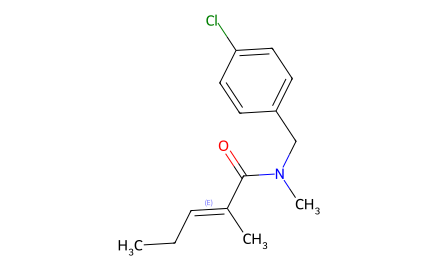 CC/C=C(\C)C(=O)N(C)Cc1ccc(Cl)cc1